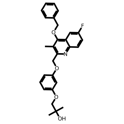 Cc1c(COc2cccc(OCC(C)(C)O)c2)nc2ccc(F)cc2c1OCc1ccccc1